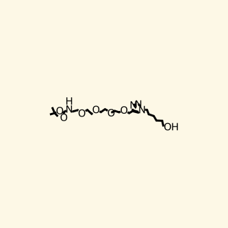 CC(C)(C)OC(=O)NCCOCCOCCOCCOCc1cn(CCCCCCO)nn1